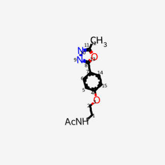 CC(=O)NCCOc1ccc(-c2nnc(C)o2)cc1